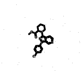 COC(=O)C1CCCCN1c1nn(-c2ccc(Cl)cc2)c2cnccc12